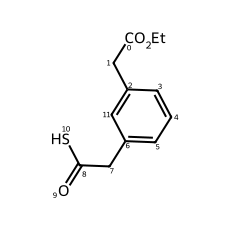 CCOC(=O)Cc1cccc(CC(=O)S)c1